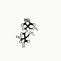 CCC(C(=O)O)(C(=O)O)C(=O)OC(=O)C(CC)(C(=O)O)C(=O)O